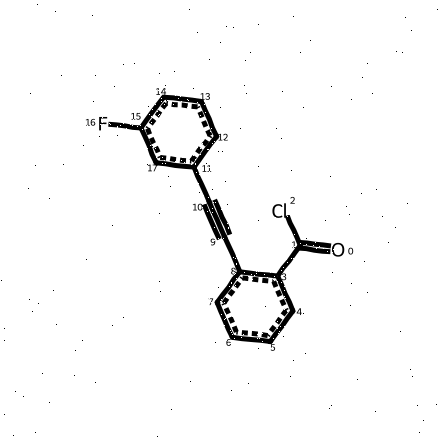 O=C(Cl)c1ccccc1C#Cc1cccc(F)c1